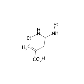 C=C(CC(NCC)NCC)C(=O)O